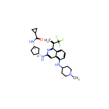 C=C(c1nc(N[C@@H]2CC[C@H](NC(=O)C3CC3)C2)cc2c(NC3CCN(C)CC3)cccc12)C(F)(F)F